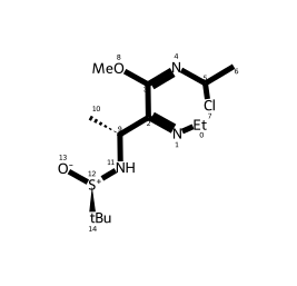 CC/N=C(\C(=N/C(C)Cl)OC)[C@@H](C)N[S@+]([O-])C(C)(C)C